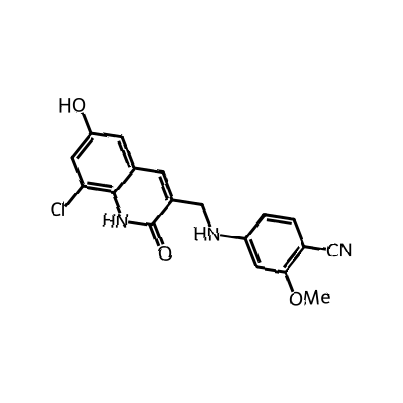 COc1cc(NCc2cc3cc(O)cc(Cl)c3[nH]c2=O)ccc1C#N